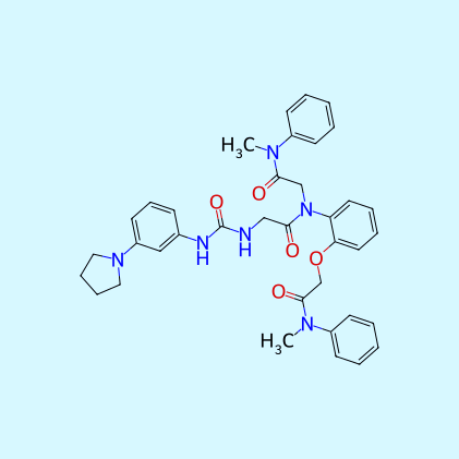 CN(C(=O)COc1ccccc1N(CC(=O)N(C)c1ccccc1)C(=O)CNC(=O)Nc1cccc(N2CCCC2)c1)c1ccccc1